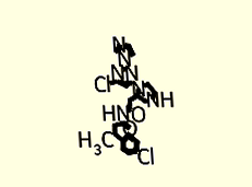 CC(CC(=O)NC(=O)CC1CNCCN1c1cc(Cl)nc(-n2ccnc2)n1)c1ccc(Cl)cc1